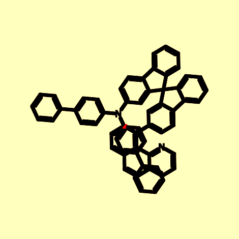 c1ccc(-c2ccc(N(c3ccc(-c4ccccc4)cc3)c3ccc4c(c3)C3(c5ccccc5-c5ccc(-c6cccc7ccc8cccnc8c67)cc53)c3ccccc3-4)cc2)cc1